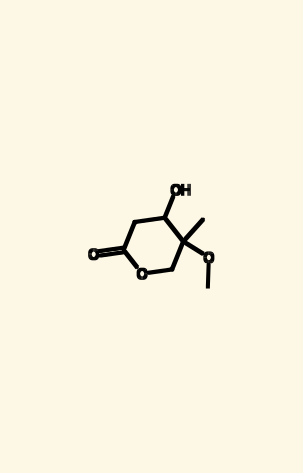 COC1(C)COC(=O)CC1O